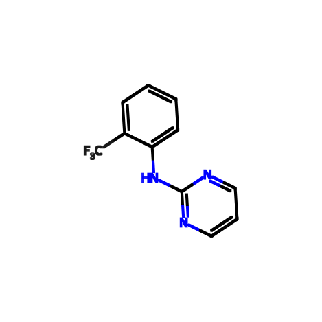 FC(F)(F)c1ccccc1Nc1ncccn1